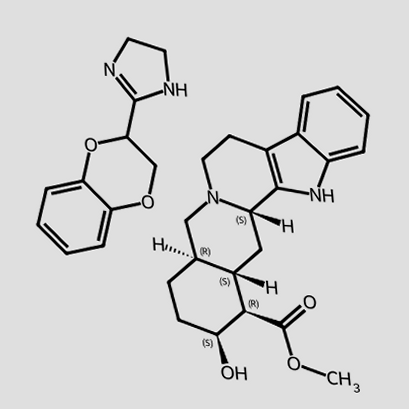 COC(=O)[C@@H]1[C@H]2C[C@H]3c4[nH]c5ccccc5c4CCN3C[C@@H]2CC[C@@H]1O.c1ccc2c(c1)OCC(C1=NCCN1)O2